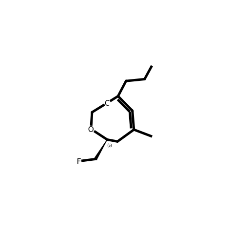 CCCC1=C=C(C)C[C@@H](CF)OCC1